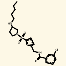 CCCCCNC1CCN(S(=O)(=O)c2ccc(CNC(=O)c3cccc(Cl)c3)s2)C1